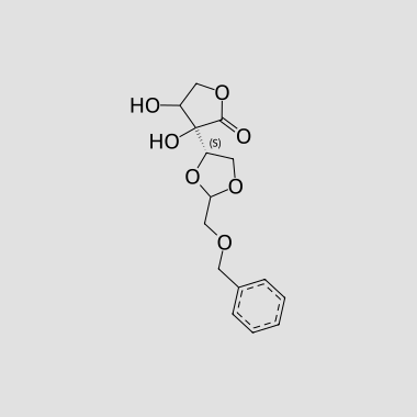 O=C1OCC(O)C1(O)[C@@H]1COC(COCc2ccccc2)O1